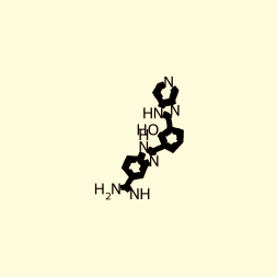 N=C(N)c1ccc2[nH]c(-c3cccc(-c4nc5cnccc5[nH]4)c3O)nc2c1